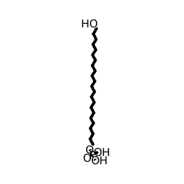 O=P(O)(O)OCCCCCCCCCCCCCCCCCCCCCCCO